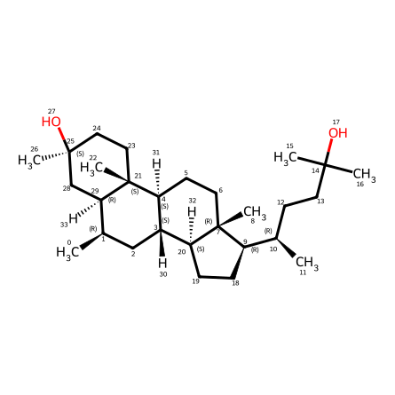 C[C@@H]1C[C@@H]2[C@H](CC[C@]3(C)[C@@H]([C@H](C)CCC(C)(C)O)CC[C@@H]23)[C@@]2(C)CC[C@](C)(O)C[C@H]12